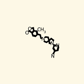 Cc1c(CCN2CCC3(CC2)CCN(c2cc(C#N)ccn2)C3)ccc2c1COC2=O